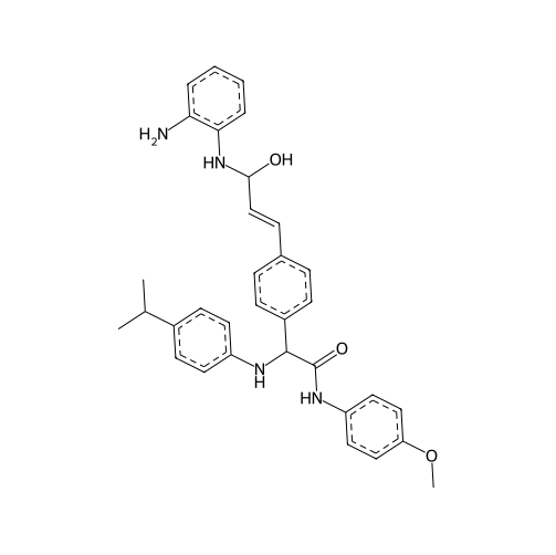 COc1ccc(NC(=O)C(Nc2ccc(C(C)C)cc2)c2ccc(/C=C/C(O)Nc3ccccc3N)cc2)cc1